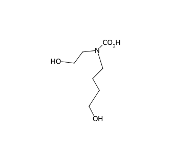 O=C(O)N(CCO)CCCCO